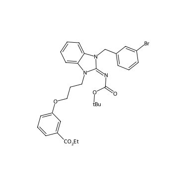 CCOC(=O)c1cccc(OCCCn2c(=NC(=O)OC(C)(C)C)n(Cc3cccc(Br)c3)c3ccccc32)c1